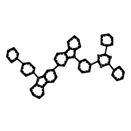 c1ccc(-c2ccc(-n3c4ccccc4c4ccc(-c5ccc6c7ccccc7n(-c7cccc(-c8nc(-c9ccccc9)nc(-c9ccccc9)n8)c7)c6c5)cc43)cc2)cc1